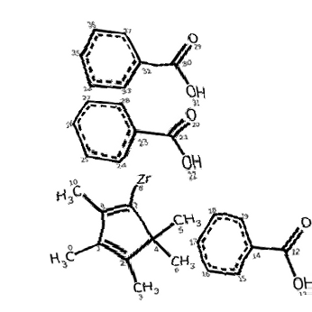 CC1=C(C)C(C)(C)[C]([Zr])=C1C.O=C(O)c1ccccc1.O=C(O)c1ccccc1.O=C(O)c1ccccc1